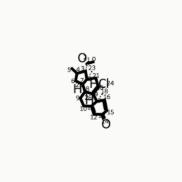 CC(=O)[C@H]1C(C)C[C@H]2[C@@H]3CCC4=CC(=O)C=C[C@]4(C)C3=CC[C@]12C.Cl